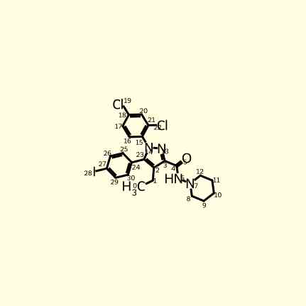 CCc1c(C(=O)NN2CCCCC2)nn(-c2ccc(Cl)cc2Cl)c1-c1ccc(I)cc1